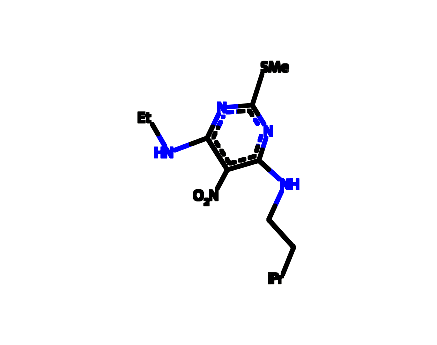 CCNc1nc(SC)nc(NCCC(C)C)c1[N+](=O)[O-]